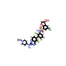 CC(C)N1CCC(Nc2ncc3c(F)c(-c4c(F)ccc(NS(=O)(=O)c5cc(Cl)cc6c5OC[C@H]6O)c4F)ccc3n2)CC1